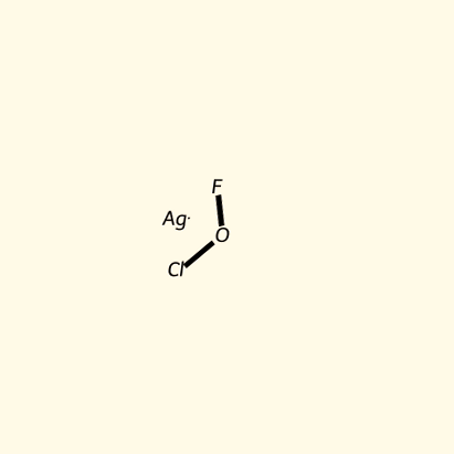 FOCl.[Ag]